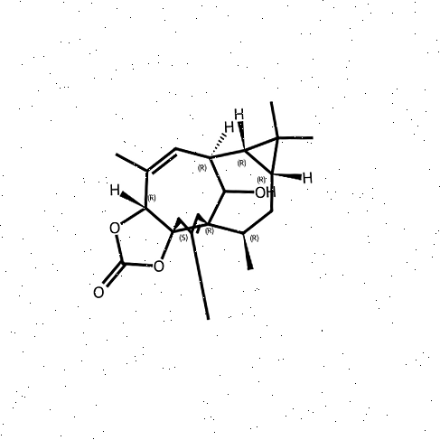 CC1=C[C@]23C(O)[C@@H](C=C(C)[C@H]4OC(=O)O[C@]42C1)[C@H]1[C@@H](C[C@H]3C)C1(C)C